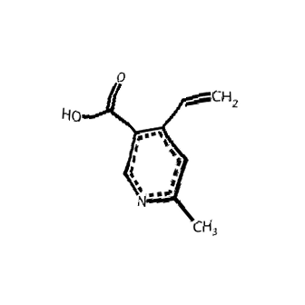 C=Cc1cc(C)ncc1C(=O)O